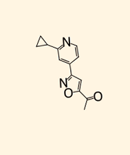 CC(=O)c1cc(-c2ccnc(C3CC3)c2)no1